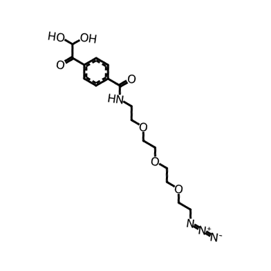 [N-]=[N+]=NCCOCCOCCOCCNC(=O)c1ccc(C(=O)C(O)O)cc1